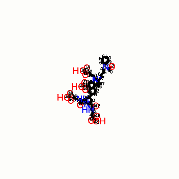 CC(=O)N(/C=C/C=C/C1=[N+](CCCS(=O)(=O)O)c2cc(S(=O)(=O)O)c3cc(-c4cc(C(=O)NCCS(=O)(=O)O)nc(C(=O)NCCS(=O)(=O)O)c4)ccc3c2C1(C)C)c1ccccc1